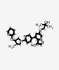 C[C@@H]1CN(c2ccc(-c3cc(OCC(C)(C)O)cn4ncc(C#N)c34)cn2)CC1Oc1ccccn1